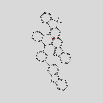 CC1(C)c2ccccc2-c2c(-c3ccccc3N(c3cccc(-c4ccc5c(c4)oc4ccccc45)c3)c3cccc4c3oc3ccccc34)cccc21